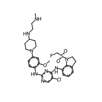 CNCCNC1CCN(c2ccc(Nc3ncc(Cl)c(Nc4cccc5c4N(S(=O)(=O)CF)CC5)n3)c(OC)c2)CC1